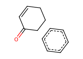 O=C1C=CCCC1.c1ccccc1